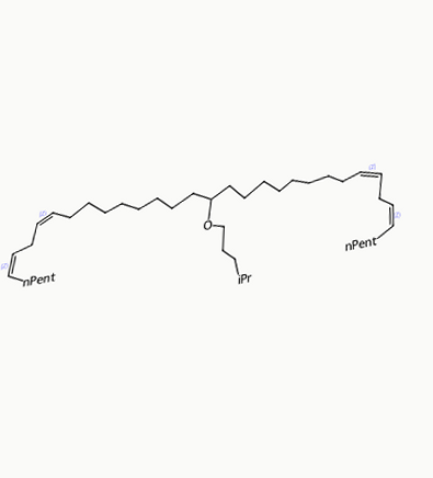 CCCCC/C=C\C/C=C\CCCCCCCCC(CCCCCCCC/C=C\C/C=C\CCCCC)OCCCC(C)C